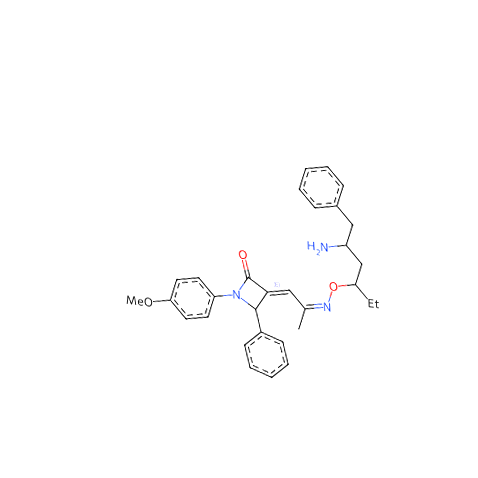 CCC(CC(N)Cc1ccccc1)ON=C(C)/C=C1/C(=O)N(c2ccc(OC)cc2)C1c1ccccc1